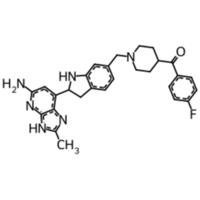 Cc1nc2c(C3Cc4ccc(CN5CCC(C(=O)c6ccc(F)cc6)CC5)cc4N3)cc(N)nc2[nH]1